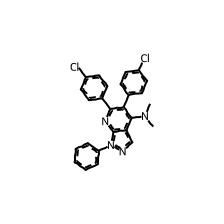 CN(C)c1c(-c2ccc(Cl)cc2)c(-c2ccc(Cl)cc2)nc2c1cnn2-c1ccccc1